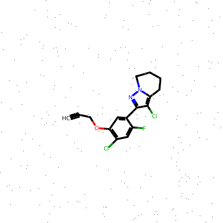 C#CCOc1cc(-c2nn3c(c2Cl)CCCC3)c(F)cc1Cl